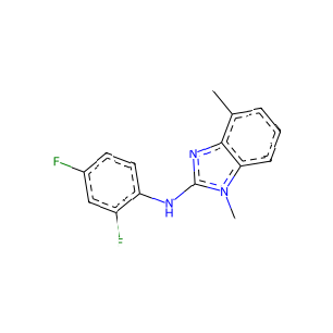 Cc1cccc2c1nc(Nc1ccc(F)cc1F)n2C